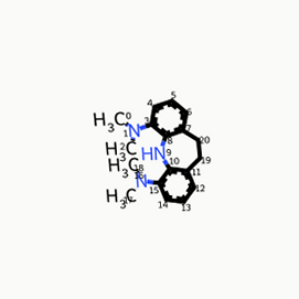 CN(C)c1cccc2c1Nc1c(cccc1N(C)C)CC2